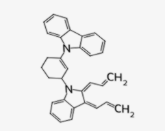 C=C/C=c1\c(=C/C=C)n(C2C=C(n3c4ccccc4c4ccccc43)CCC2)c2ccccc12